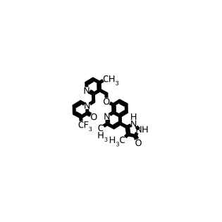 Cc1cc(-c2[nH][nH]c(=O)c2C)c2cccc(OCc3c(C)ccnc3Cn3cccc(C(F)(F)F)c3=O)c2n1